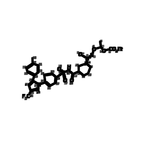 CCOC(=O)OC(C)ON=[N+]([O-])N1CCCC(C(=O)NS(=O)(=O)c2ccc(-n3nc(C(F)(F)F)cc3-c3ccc(C)cc3)cc2)C1